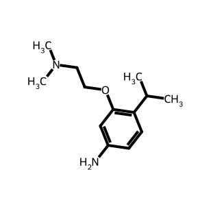 CC(C)c1ccc(N)cc1OCCN(C)C